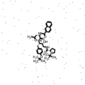 CC(C)(C)Oc1ccc(C[C@H](NC(=O)[C@H](CC(N)=O)NC(=O)c2ccc3ccccc3c2)[C@H](O)CNC(=O)[C@@H]2CCCN2C(C)(C)C)cc1